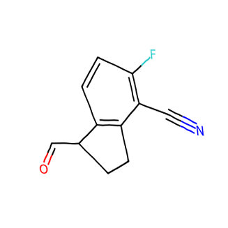 N#Cc1c(F)ccc2c1CCC2C=O